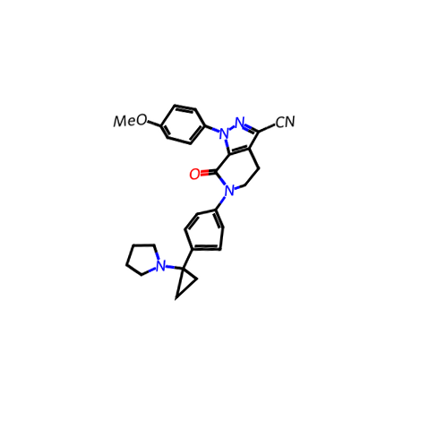 COc1ccc(-n2nc(C#N)c3c2C(=O)N(c2ccc(C4(N5CCCC5)CC4)cc2)CC3)cc1